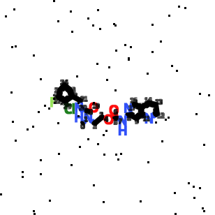 CN(CCOC(=O)Nc1cc2ncccc2cn1)C(=O)NCc1cccc(F)c1Cl